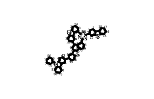 c1ccc(-c2nc(-c3ccc4c(c3)sc3ccccc34)nc(-c3cccc4oc5ccc(-c6ccc7sc8ccc(-c9ccc%10c(c9)c9ccccc9n%10-c9ccccc9)cc8c7c6)cc5c34)n2)cc1